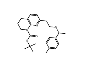 CC(OCCc1ccc2c(n1)N(C(=O)OC(C)(C)C)CCC2)c1ccc(I)cc1